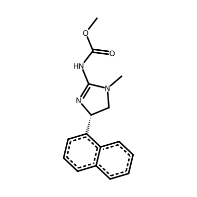 COC(=O)NC1=N[C@@H](c2cccc3ccccc23)CN1C